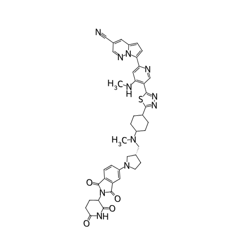 CNc1cc(-c2ccc3cc(C#N)cnn23)ncc1-c1nnc(C2CCC(N(C)C[C@@H]3CCN(c4ccc5c(c4)C(=O)N(C4CCC(=O)NC4=O)C5=O)C3)CC2)s1